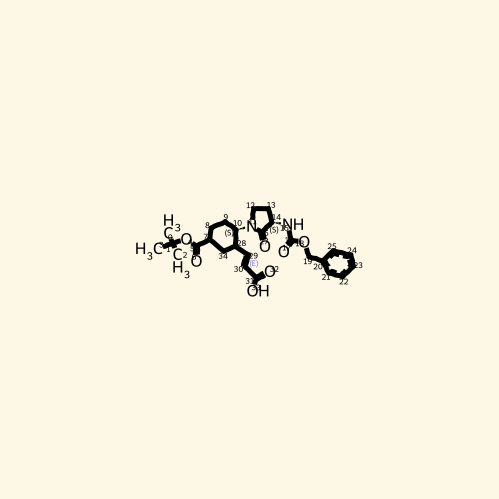 CC(C)(C)OC(=O)C1CC[C@H](N2CC[C@H](NC(=O)OCc3ccccc3)C2=O)C(/C=C/C(=O)O)C1